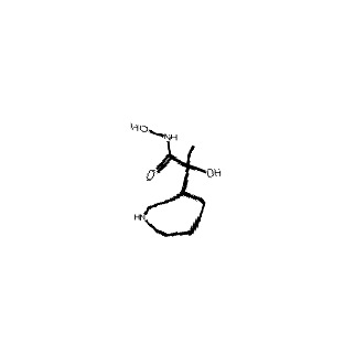 CC(O)(C(=O)NO)C1CCCNC1